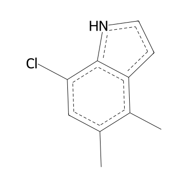 Cc1cc(Cl)c2[nH]ccc2c1C